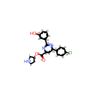 O=C(O[C@H]1CCNC1)c1cc(-c2ccc(Cl)cc2)nc(-c2cccc(O)c2)n1